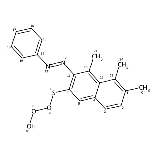 Cc1ccc2cc(SOOO)c(N=Nc3ccccc3)c(C)c2c1C